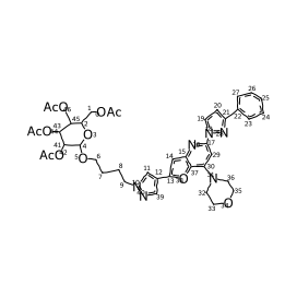 CC(=O)OCC1OC(OCCCCn2cc(-c3cc4nc(-n5ccc(-c6ccccc6)n5)cc(N5CCOCC5)c4o3)cn2)C(OC(C)=O)C(OC(C)=O)C1OC(C)=O